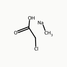 O=C(O)CCl.[CH3][Na]